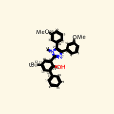 COc1cccc(-c2nc(-c3cc(C(C)(C)C)cc(-c4ccccc4)c3O)n(C)c2-c2cccc(OC)c2)c1